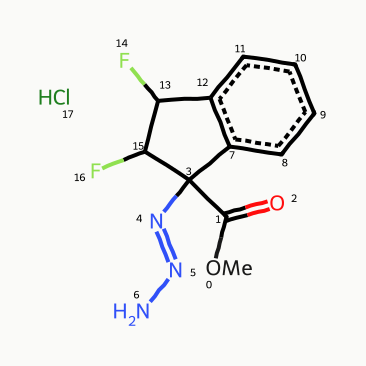 COC(=O)C1(N=NN)c2ccccc2C(F)C1F.Cl